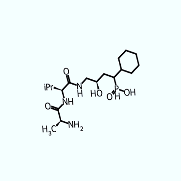 CC(C)[C@H](NC(=O)[C@H](C)N)C(=O)NC[C@H](O)CC(C1CCCCC1)[PH](=O)O